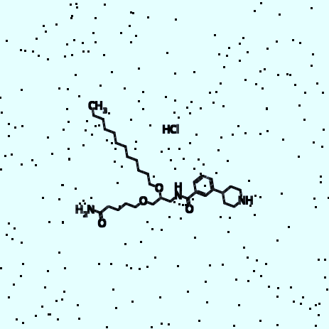 CCCCCCCCCCCCOC(CNC(=O)c1cccc(C2CCNCC2)c1)COCCCCC(N)=O.Cl